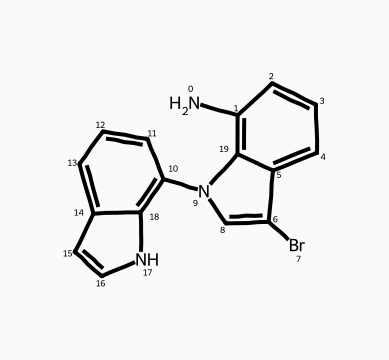 Nc1cccc2c(Br)cn(-c3cccc4cc[nH]c34)c12